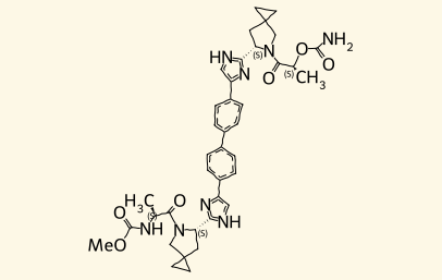 COC(=O)N[C@@H](C)C(=O)N1CC2(CC2)C[C@H]1c1nc(-c2ccc(-c3ccc(-c4c[nH]c([C@@H]5CC6(CC6)CN5C(=O)[C@H](C)OC(N)=O)n4)cc3)cc2)c[nH]1